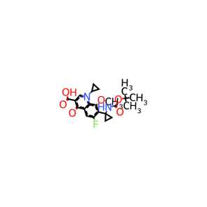 COc1c(C2(NC(=O)OC(C)(C)C)CC2)c(F)cc2c(=O)c(C(=O)O)cn(C3CC3)c12